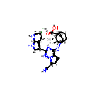 N#Cc1ccc2c(N[C@H]3C4CCC(CC4)[C@@H]3C(=O)O)nc(-c3c[nH]c4ncc(F)cc34)nn12